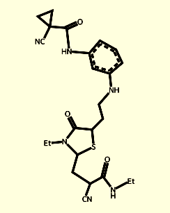 CCNC(=O)C(C#N)CC1SC(CCNc2cccc(NC(=O)C3(C#N)CC3)c2)C(=O)N1CC